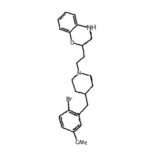 COc1ccc(Br)c(CC2CCN(CCC3CNc4ccccc4O3)CC2)c1